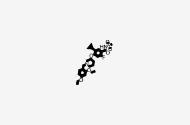 CCOc1ccc(CN2CCCC(Oc3cc(F)c(C(=O)NS(C)(=O)=O)cc3C3CC3)C2)c(OCC)c1